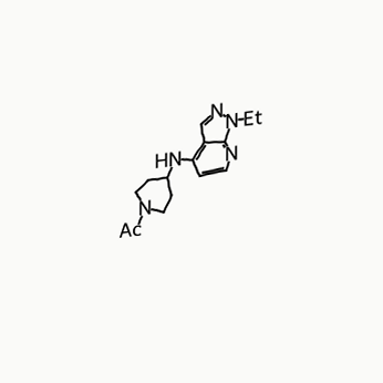 CCn1ncc2c(NC3CCN(C(C)=O)CC3)ccnc21